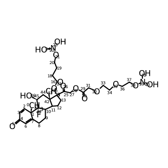 C[C@]12C=CC(=O)C=C1CCC1C3CC[C@](OC(=O)CCCON(O)O)(C(=O)COC(=O)COCCOCCON(O)O)[C@@]3(C)C[C@H](O)[C@@]12F